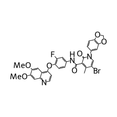 COc1cc2nccc(Oc3ccc(NC(=O)c4c(C)c(Br)cn(-c5ccc6c(c5)OCO6)c4=O)cc3F)c2cc1OC